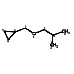 CC(C)COCC1CC1